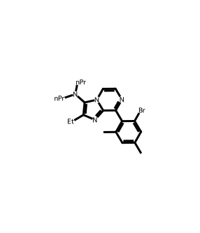 CCCN(CCC)c1c(CC)nc2c(-c3c(C)cc(C)cc3Br)nccn12